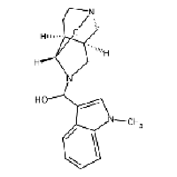 Cn1cc(C(O)N2C[C@@H]3C[N@@]4CC[C@@H]3[C@@H]2C4)c2ccccc21